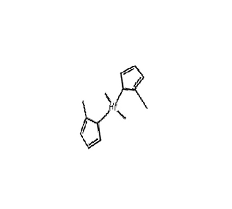 CC1=CC=C[CH]1[Hf]([CH3])([CH3])[CH]1C=CC=C1C